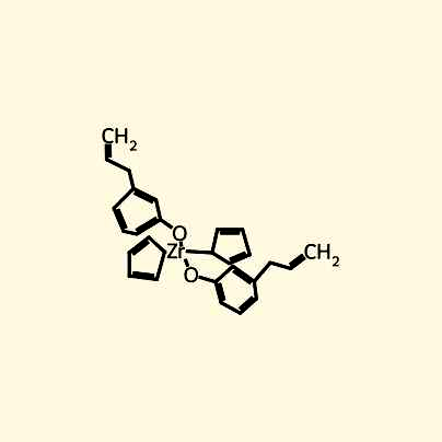 C=CCc1cccc([O][Zr]([O]c2cccc(CC=C)c2)([CH]2C=CC=C2)[CH]2C=CC=C2)c1